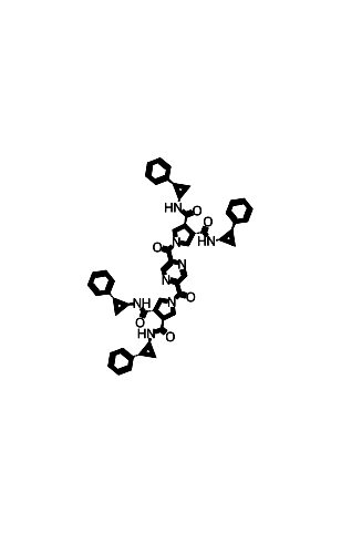 O=C(N[C@H]1C[C@@H]1c1ccccc1)[C@@H]1CN(C(=O)c2cnc(C(=O)N3C[C@@H](C(=O)N[C@H]4C[C@@H]4c4ccccc4)[C@H](C(=O)N[C@H]4C[C@@H]4c4ccccc4)C3)cn2)C[C@H]1C(=O)N[C@H]1C[C@@H]1c1ccccc1